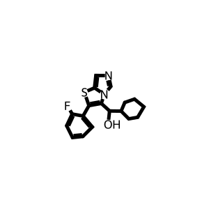 OC(c1c(-c2ccccc2F)sc2cncn12)C1CCCCC1